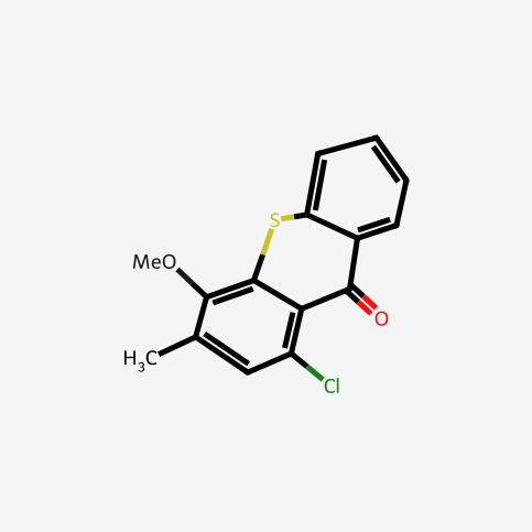 COc1c(C)cc(Cl)c2c(=O)c3ccccc3sc12